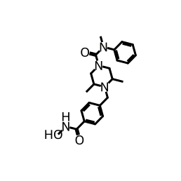 CC1CN(C(=O)N(C)c2ccccc2)CC(C)N1Cc1ccc(C(=O)NO)cc1